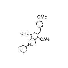 COc1ccc(Cc2cc(C=O)c(CN(C)C3CCCOC3)c(C)c2OC)cc1